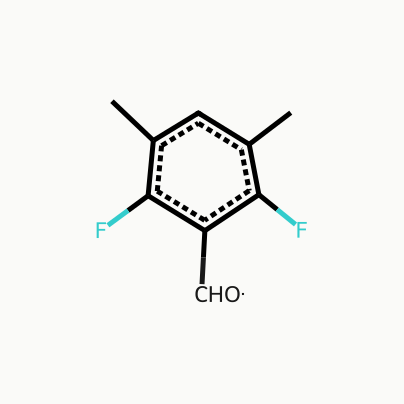 Cc1cc(C)c(F)c([C]=O)c1F